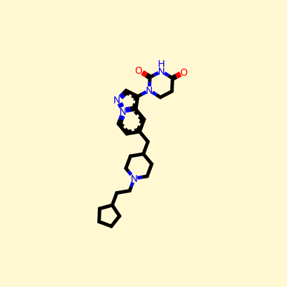 O=C1CCN(c2cnn3ccc(CC4CCN(CCC5CCCC5)CC4)cc23)C(=O)N1